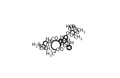 CC[C@H]1CCC[C@H](O[C@H]2CC[C@H](N(C)C)[C@@H](C)O2)[C@@H](C)C(=O)C2=C[C@H]3[C@@H]4C[C@H](O[C@@H]5O[C@@H](C)[C@H](OC)[C@@H](OC)[C@H]5OC)C[C@H]4[C@H](Nc4ccccc4)[C@@H](O)[C@H]3[C@@H]2CC(=O)O1